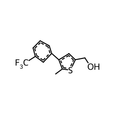 Cc1sc(CO)cc1-c1cccc(C(F)(F)F)c1